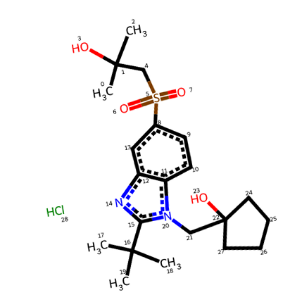 CC(C)(O)CS(=O)(=O)c1ccc2c(c1)nc(C(C)(C)C)n2CC1(O)CCCC1.Cl